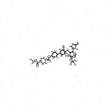 CC(C)OC(=O)N1CCC([C@H](C)Oc2ccc(-c3ccc(CC(NC(=O)OC(C)(C)C)C(=O)N4CC[C@H](F)C4)c(F)c3)cc2)CC1